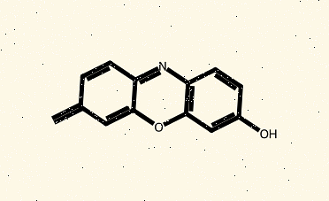 C=c1ccc2c(c1)Oc1cc(O)ccc1N=2